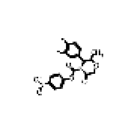 CC1OCC(=O)N(C(=O)Oc2ccc([N+](=O)[O-])cc2)C1c1ccc(F)c(F)c1